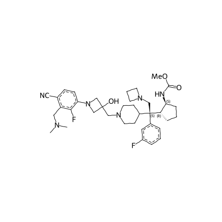 COC(=O)N[C@H]1CCC[C@@H]1[C@](CN1CCC1)(c1cccc(F)c1)C1CCN(CC2(O)CN(c3ccc(C#N)c(CN(C)C)c3F)C2)CC1